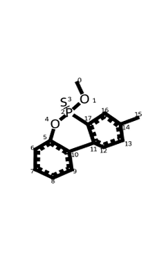 COP1(=S)Oc2ccccc2-c2ccc(C)cc21